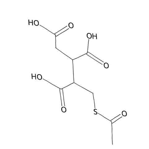 CC(=O)SCC(C(=O)O)C(CC(=O)O)C(=O)O